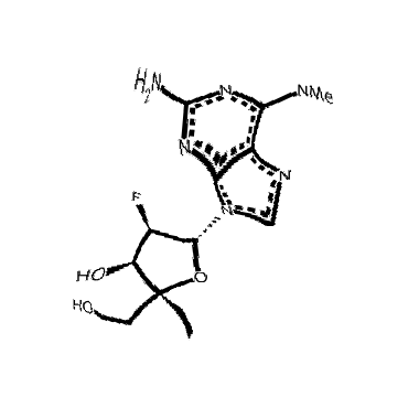 CNc1nc(N)nc2c1ncn2[C@@H]1O[C@](C)(CO)[C@@H](O)[C@H]1F